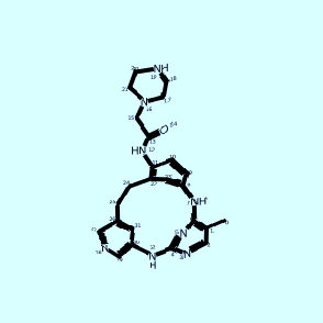 Cc1cnc2nc1Nc1ccc(NC(=O)CN3CCNCC3)c(c1)CCc1cncc(c1)N2